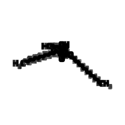 CCCCCCC=CCCCCCCCCOC(COP(=O)(O)CCC(O)CO)CS(=O)(=O)CCCCCCCCCCCCCCCC